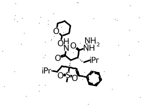 CC(C)CCC(/C=C/c1ccccc1)([C@H](C(=O)NOC1CCCCO1)[C@@H](CC(C)C)C(=O)NN)S(C)(=O)=O